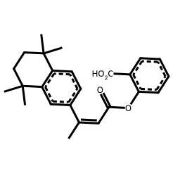 C/C(=C/C(=O)Oc1ccccc1C(=O)O)c1ccc2c(c1)C(C)(C)CCC2(C)C